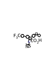 Cc1ncsc1/C=C/c1c(C(=O)O)n(-c2ccc(OC3CCCC3)cc2)c2ccc(-c3ccc(C(F)(F)F)cc3)cc12